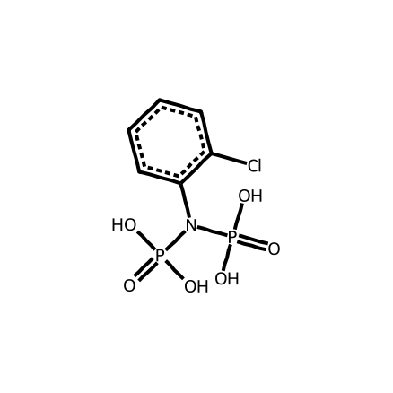 O=P(O)(O)N(c1ccccc1Cl)P(=O)(O)O